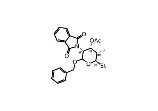 CC[C@H]1OC(OCc2ccccc2)[C@H](N2C(=O)c3ccccc3C2=O)[C@H](OC(C)=O)[C@@H]1C